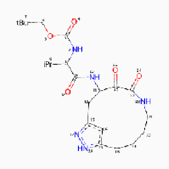 CC(C)C(NC(=O)OCC(C)(C)C)C(=O)NC1Cc2cc([nH]n2)CCCCNC(=O)C1=O